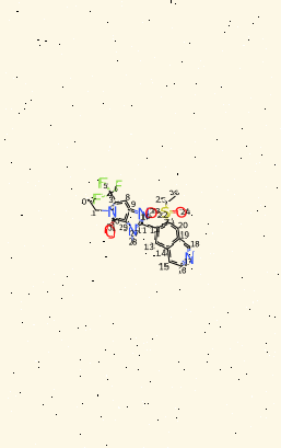 CCn1c(C(F)(F)F)cc2nc(-c3cc4ccncc4cc3S(=O)(=O)CC)n(C)c2c1=O